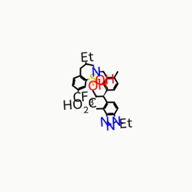 CCC1Cc2ccc(C(F)(F)F)cc2S(O)(O)N(Cc2cc([C@@H](c3ccc4c(nnn4CC)c3C)[C@@H](C)C(=O)O)ccc2C)C1